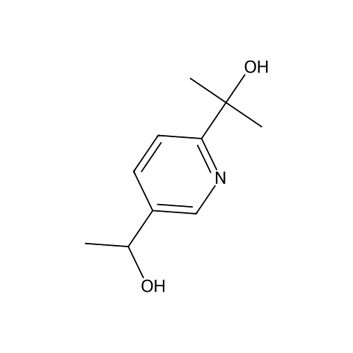 CC(O)c1ccc(C(C)(C)O)nc1